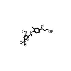 Cc1cc(NCCO)ccc1N=Nc1sc([N+](=O)[O-])cc1N=O